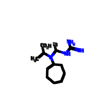 CCC(NC(=N)N)N(C1CCCCCC1)C(C)C(=O)O